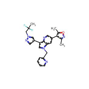 Cc1noc(C)c1-c1cnc2c(-c3cnn(CC(C)(F)F)c3)cn(Cc3ccccn3)c2c1